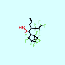 C=CCC(C(OO)C1C(F)(F)C2(F)C(F)(F)C(F)(F)C1(F)C2(F)F)C(F)(F)C(F)=C(F)F